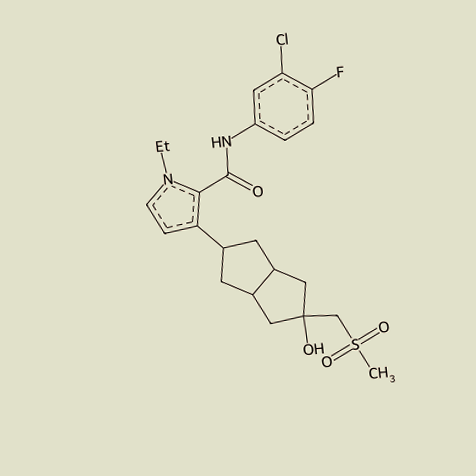 CCn1ccc(C2CC3CC(O)(CS(C)(=O)=O)CC3C2)c1C(=O)Nc1ccc(F)c(Cl)c1